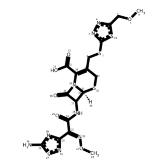 COCc1nnc(SCC2=C(C(=O)O)N3C(=O)C(NC(=O)C(=NOC)c4nsc(N)n4)[C@@H]3SC2)s1